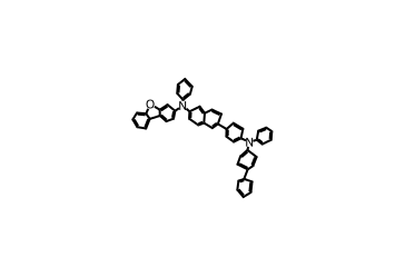 c1ccc(-c2ccc(N(c3ccccc3)c3ccc(-c4ccc5cc(N(c6ccccc6)c6ccc7c(c6)oc6ccccc67)ccc5c4)cc3)cc2)cc1